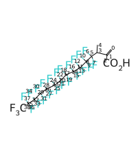 C=C(C(=O)O)C(C)C(F)(F)C(F)(F)C(F)(F)C(F)(F)C(F)(F)C(F)(F)C(F)(F)C(F)(F)C(F)(F)C(F)(F)C(F)(F)C(F)(F)F